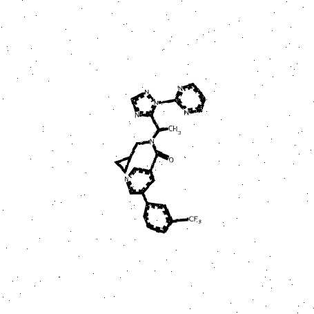 CC(c1ncnn1-c1ncccn1)N(CC1CC1)C(=O)c1cncc(-c2cccc(C(F)(F)F)c2)c1